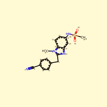 Cn1c(Cc2ccc(C#N)cc2)nc2cc(NS(C)(=O)=O)ccc21